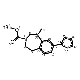 C[C@@H]1CN(C(=O)OC(C)(C)C)CCc2ccc(-c3ccco3)cc21